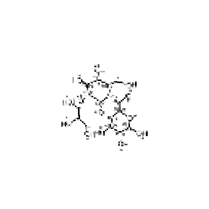 OCC(O)CO.OC[C@H]1O[C@H](O[C@H]2[C@H](O)[C@@H](O)[C@H](O)O[C@@H]2CO)[C@H](O)[C@@H](O)[C@@H]1O